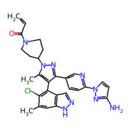 C=CC(=O)N1CCC(n2nc(-c3ccc(-n4ccc(N)n4)nc3)c(-c3c(Cl)c(C)cc4[nH]ncc34)c2C)CC1